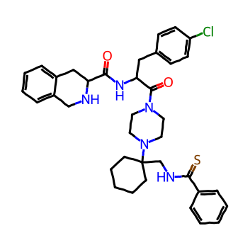 O=C(NC(Cc1ccc(Cl)cc1)C(=O)N1CCN(C2(CNC(=S)c3ccccc3)CCCCC2)CC1)C1Cc2ccccc2CN1